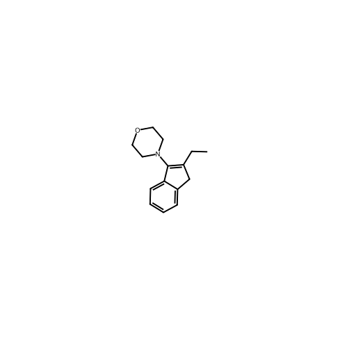 CCC1=C(N2CCOCC2)c2ccccc2C1